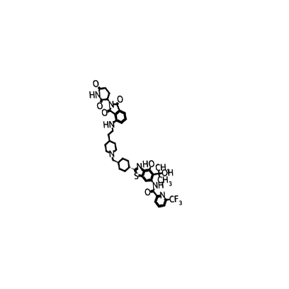 CC(C)(O)c1c(NC(=O)c2cccc(C(F)(F)F)n2)cc2sc([C@H]3CC[C@H](CN4CCC(CCNc5cccc6c5C(=O)N(C5CCC(=O)NC5=O)C6=O)CC4)CC3)nc2c1O